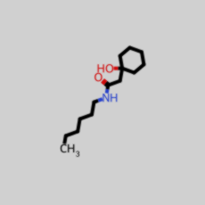 CCCCCCNC(=O)CC1(O)CCCCC1